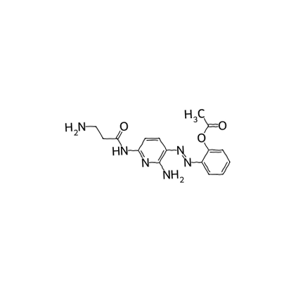 CC(=O)Oc1ccccc1/N=N/c1ccc(NC(=O)CCN)nc1N